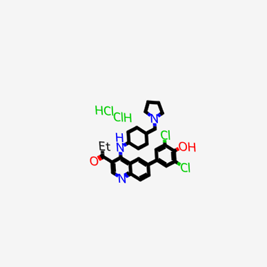 CCC(=O)c1cnc2ccc(-c3cc(Cl)c(O)c(Cl)c3)cc2c1NC1CCC(CN2CCCC2)CC1.Cl.Cl